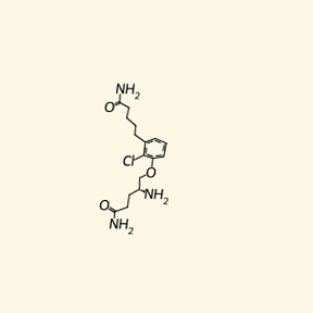 NC(=O)CCCCc1cccc(OC[C@@H](N)CCC(N)=O)c1Cl